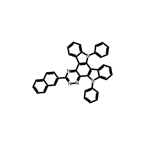 c1ccc(-n2c3ccccc3c3c2c2nnc(-c4ccc5ccccc5c4)nc2c2c4ccccc4n(-c4ccccc4)c23)cc1